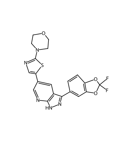 FC1(F)Oc2ccc(-c3n[nH]c4ncc(-c5cnc(N6CCOCC6)s5)cc34)cc2O1